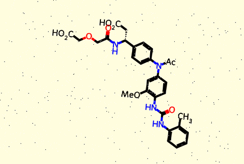 COc1cc(N(C(C)=O)c2ccc([C@@H](CC(=O)O)NC(=O)COCC(=O)O)cc2)ccc1NC(=O)Nc1ccccc1C